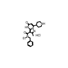 CCN(Cc1ccccc1)C(=O)c1c(C)nn2c(C3CCNCC3)cc(=O)[nH]c12.Cl